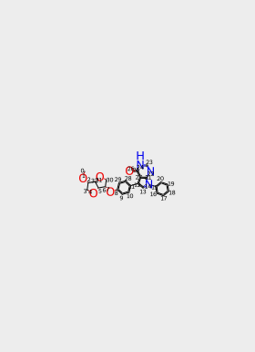 COC1COC2C(Oc3ccc(-c4cn(-c5ccccc5)c5nc[nH]c(=O)c45)cc3)COC12